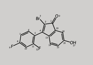 O=C1C(Br)=C(c2ccc(F)cc2F)c2ccc(O)cc21